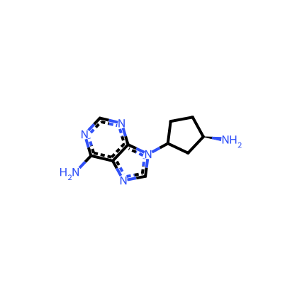 Nc1ncnc2c1ncn2C1CC[C@@H](N)C1